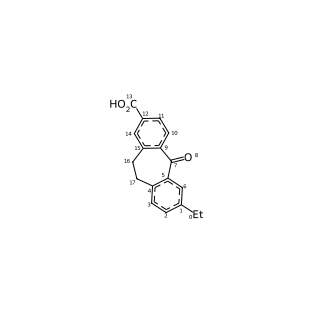 CCc1ccc2c(c1)C(=O)c1ccc(C(=O)O)cc1CC2